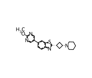 COc1ncc(-c2ccc3nc([C@H]4C[C@@H](N5CCCCC5)C4)sc3c2)cn1